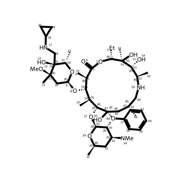 CC[C@H]1OC(=O)[C@H](C)[C@@H](O[C@H]2C[C@@](C)(OC)[C@](O)(CNC3CC3)[C@H](C)O2)[C@H](C)[C@@H](O[C@@H]2O[C@H](C)C[C@H](NC)[C@H]2Oc2ccccc2)[C@](C)(O)C[C@@H](C)CN[C@H](C)[C@@H](O)[C@]1(C)O